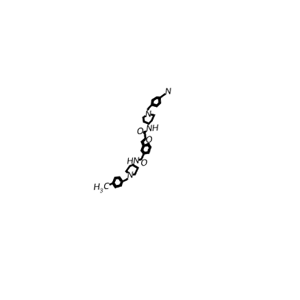 Cc1ccc(CN2CCC(NC(=O)c3ccc4oc(C(=O)NC5CCN(Cc6ccc(C#N)cc6)CC5)cc4c3)CC2)cc1